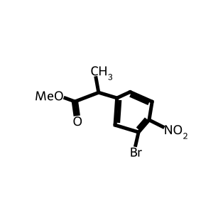 COC(=O)C(C)c1ccc([N+](=O)[O-])c(Br)c1